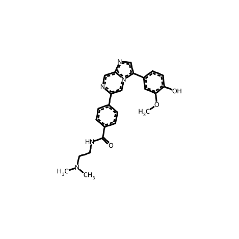 COc1cc(-c2cnc3cnc(-c4ccc(C(=O)NCCN(C)C)cc4)cn23)ccc1O